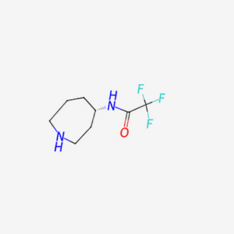 O=C(N[C@H]1CCCNCC1)C(F)(F)F